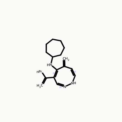 C=C(CCC)C1=C(\NC2CCCCCC2)C(=C)/C=C\N/N=C\1